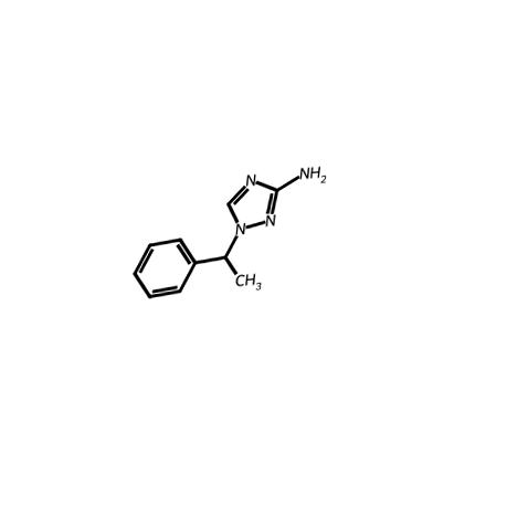 CC(c1ccccc1)n1cnc(N)n1